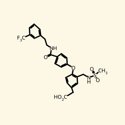 CS(=O)(=O)NCc1cc(CC(=O)O)ccc1Oc1ccc(C(=O)NCCc2cccc(C(F)(F)F)c2)cc1